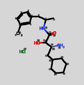 CC(Cc1cccc(C(F)(F)F)c1)NC(=O)C(O)[C@H](N)CC1CCCCC1.Cl